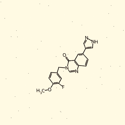 COc1ccc(Cn2cnc3ccc(-c4cn[nH]c4)cc3c2=O)cc1F